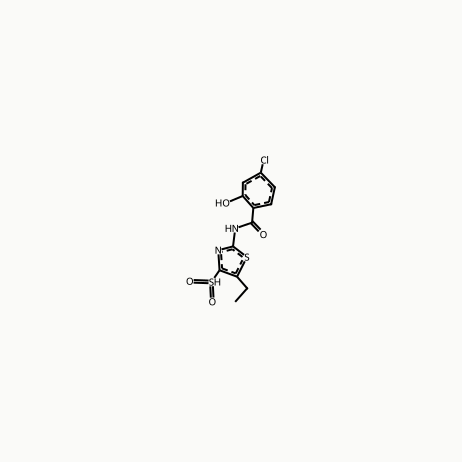 CCc1sc(NC(=O)c2ccc(Cl)cc2O)nc1[SH](=O)=O